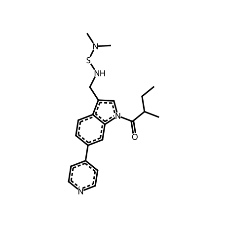 CCC(C)C(=O)n1cc(CNSN(C)C)c2ccc(-c3ccncc3)cc21